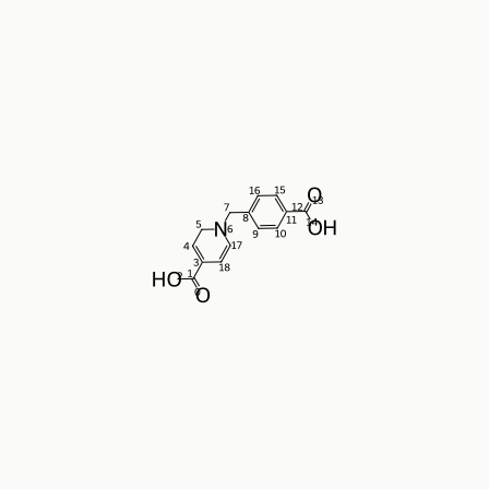 O=C(O)C1=CCN(Cc2ccc(C(=O)O)cc2)C=C1